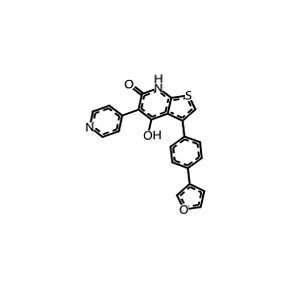 O=c1[nH]c2scc(-c3ccc(-c4ccoc4)cc3)c2c(O)c1-c1ccncc1